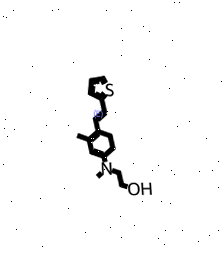 CC1=C(/C=C/c2cccs2)CCC(N(C)CCO)=C1